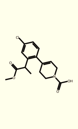 COC(=O)C(C)c1cc(Cl)ccc1C1=CCN(C(=O)O)CC1